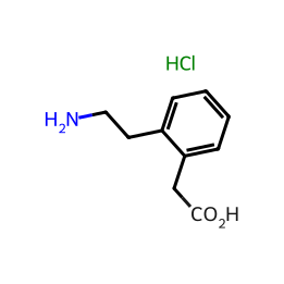 Cl.NCCc1ccccc1CC(=O)O